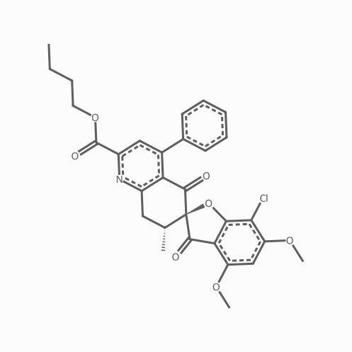 CCCCOC(=O)c1cc(-c2ccccc2)c2c(n1)C[C@@H](C)[C@]1(Oc3c(Cl)c(OC)cc(OC)c3C1=O)C2=O